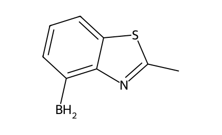 Bc1cccc2sc(C)nc12